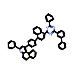 c1ccc(-c2cccc(-c3nc(-c4ccccc4)nc(-c4ccc(-c5ccc(-c6cc(-c7ccccc7)nc7ccc8ccccc8c67)cc5)c5ccccc45)n3)c2)cc1